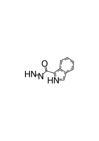 N=NC(=O)c1[nH]cc2ccccc12